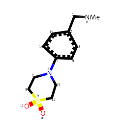 CNCc1ccc(N2CCS(=O)(=O)CC2)cc1